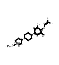 CCCCC[SiH]1CCC([C@H]2CC[C@H](c3cc(F)c(OC=C(F)F)c(F)c3)CC2)CC1